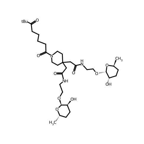 C[C@H]1CC[C@H](O)[C@H](OCCNC(=O)CC2(CC(=O)NCCO[C@@H]3O[C@@H](C)CC[C@@H]3O)CCN(C(=O)CCCCC(=O)C(C)(C)C)CC2)O1